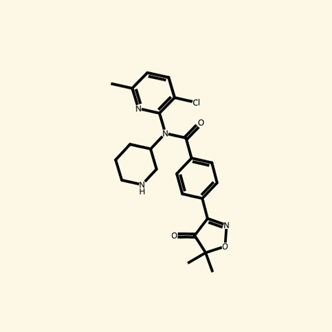 Cc1ccc(Cl)c(N(C(=O)c2ccc(C3=NOC(C)(C)C3=O)cc2)C2CCCNC2)n1